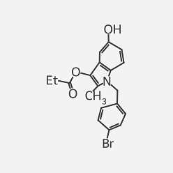 CCC(=O)Oc1c(C)n(Cc2ccc(Br)cc2)c2ccc(O)cc12